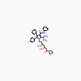 CC(C)c1c(C(=O)Nc2ccccc2)c(-c2ccccc2)c(-c2ccc(F)cc2)n1CCC(O)CC(O)CC(=O)N1CCCC1